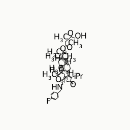 CC1=C2C[C@]3(CC(=O)C(C(C)C)=C3[C@H]3CC[C@@H]4[C@@]5(C)CC[C@H](OC(=O)CC(C)(C)C(=O)CO)C(C)(C)[C@@H]5CC[C@@]4(C)[C@]23C)[C@@H](CNCc2ccc(F)cc2)O1